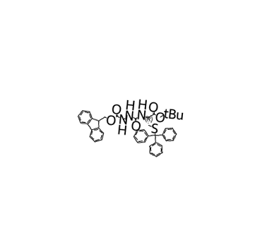 CC(C)(C)OC(=O)[C@H](CSC(c1ccccc1)(c1ccccc1)c1ccccc1)NC(=O)NNC(=O)OCC1c2ccccc2-c2ccccc21